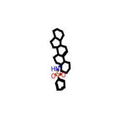 O=S(=O)(NC12CCCCC1C1=CCC3C4CCCCC4CCC3C1CC2)c1ccccc1